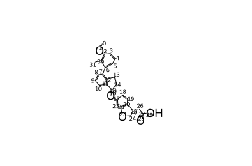 COc1cccc(-c2cccc3c2CC[C@H]3Oc2ccc3c(c2)OC[C@H]3CC(=O)O)c1C